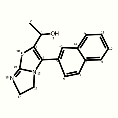 CC(O)C1=C(c2ccc3ccccc3c2)N2CCN=C2S1